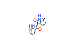 O=C1N[C]2=C(C=C[CH]=[Y]2)/C1=C1/Nc2ncccc2C1=O